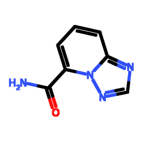 NC(=O)c1cccc2ncnn12